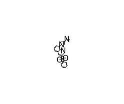 CN(C)C1CN(c2cccc3cc(S(=O)(=O)c4ccccc4)cnc23)C1